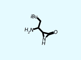 CCC(C)CC(N)C1NC1=O